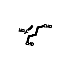 CC(=O)O.O=CCCCC=O